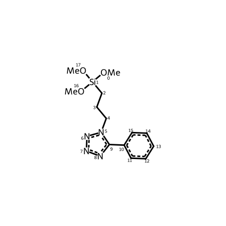 CO[Si](CCCn1nnnc1-c1ccccc1)(OC)OC